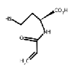 C=CC(=O)N[C@@H](CCS)C(=O)O